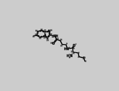 CSCC[C@H](N)C(=O)NCCCC(=O)Nc1nc2ccc(C)cc2s1